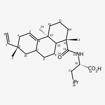 C=C[C@]1(C)CC=C2C(CCC3[C@@](C)(C(=O)N[C@@H](CC(C)C)C(=O)O)CCC[C@]23C)C1